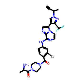 C#CC(C)n1cc(-c2cnc3c(Nc4ccc(C(=O)N5CCN(C(=O)C(C)N)CC5)c(CC)c4)nccn23)c(C(F)F)n1